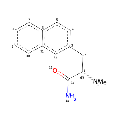 CN[C@@H](Cc1ccc2ccccc2c1)C(N)=O